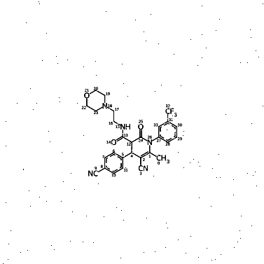 CC1=C(C#N)C(c2ccc(C#N)cc2)C(C(=O)NCCN2CCOCC2)C(=O)N1c1cccc(C(F)(F)F)c1